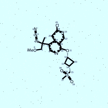 COCC(C)(N=[N+]=[N-])c1cnc(O[C@H]2C[C@@H](CS(C)(=O)=O)C2)c2cnc(Cl)cc12